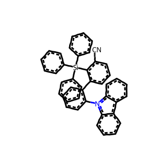 N#Cc1cccc(-c2ccccc2-n2c3ccccc3c3ccccc32)c1[Si](c1ccccc1)(c1ccccc1)c1ccccc1